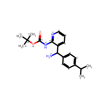 CC(C)c1ccc(C(N)c2cccnc2NC(=O)OC(C)(C)C)cc1